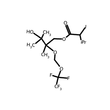 CC(C)C(I)C(=O)OCC(C)(OCOC(F)(F)C(F)(F)F)C(C)(C)O